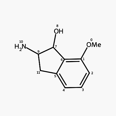 COc1cccc2c1C(O)C(N)C2